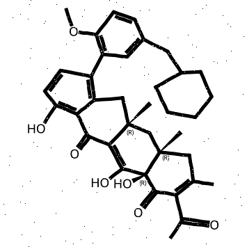 COc1ccc(CC2CCCCC2)cc1-c1ccc(O)c2c1C[C@]1(C)C[C@]3(C)CC(C)=C(C(C)=O)C(=O)[C@]3(O)C(O)=C1C2=O